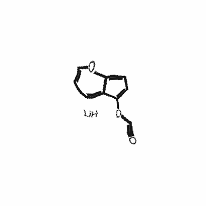 O=COc1ccc2occcc1-2.[LiH]